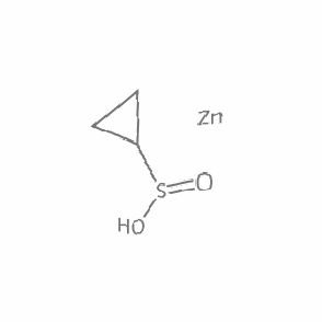 O=S(O)C1CC1.[Zn]